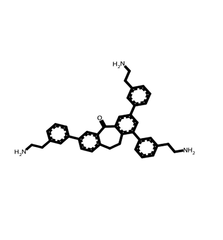 NCCc1cccc(-c2ccc3c(c2)C(=O)c2cc(-c4cccc(CCN)c4)cc(-c4cccc(CCN)c4)c2CC3)c1